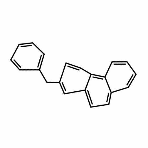 [c]1c(Cc2ccccc2)ccc2c1ccc1ccccc12